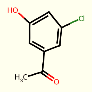 CC(=O)c1cc(O)cc(Cl)c1